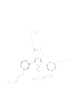 CCCCCCC1=C(c2cccc(CCCC)c2)[N+](=[N-])C(c2cccc(CCCC)c2)=C1CC.[CH3][Ni][CH3]